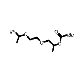 CCC(C)C(=O)OC(C)COCCOC(C)C(C)C